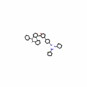 CC1c2ccccc2-c2c(ccc3oc4ccc(-c5ccc(-c6nc(-c7ccccc7)nc(-c7ccccc7)n6)cc5)cc4c23)C1c1ccccc1